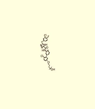 CC(C)(O)CCCOc1ccc(Cl)c(-c2ccnc(NC(=O)c3nnc(Cc4ccc(F)c(Cl)c4)[nH]3)c2)c1